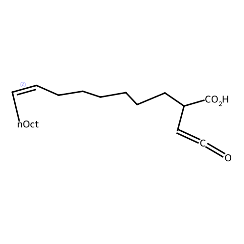 CCCCCCCC/C=C\CCCCCCC(C=C=O)C(=O)O